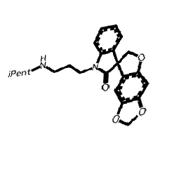 CCCC(C)NCCCN1C(=O)C2(COc3cc4c(cc32)OCO4)c2ccccc21